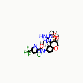 CN1C(=N)N[C@]2(C)c3cc(NC(=O)c4ncc(C(F)(F)F)cc4Cl)ccc3OCC[C@@H]2S1(=O)=O